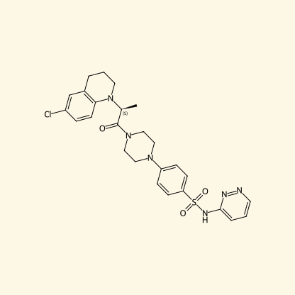 C[C@@H](C(=O)N1CCN(c2ccc(S(=O)(=O)Nc3cccnn3)cc2)CC1)N1CCCc2cc(Cl)ccc21